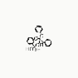 CCC(O)(O)c1ccccc1.O=C(Oc1ccccc1)Oc1ccccc1